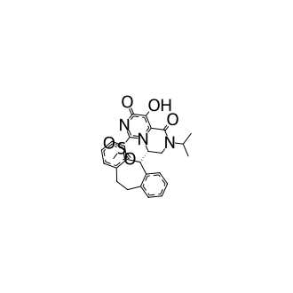 CC(C)N1C[C@H](C2c3ccccc3CCc3ccccc32)n2c(S(C)(=O)=O)nc(=O)c(O)c2C1=O